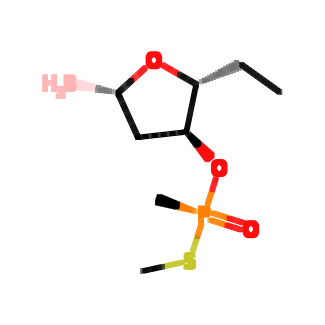 B[C@H]1C[C@H](O[P@](C)(=O)SC)[C@@H](CC)O1